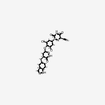 N#Cc1nn(-c2cc(Cl)c(Oc3cc(Cc4ccc5[nH]ncc5c4)c(=O)[nH]n3)c(Cl)c2)c(=O)[nH]c1=O